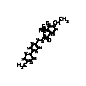 CCOc1ccc(C(=O)CCCc2ccc(C3CCC(C)CC3)cc2)c(C(F)(F)F)c1F